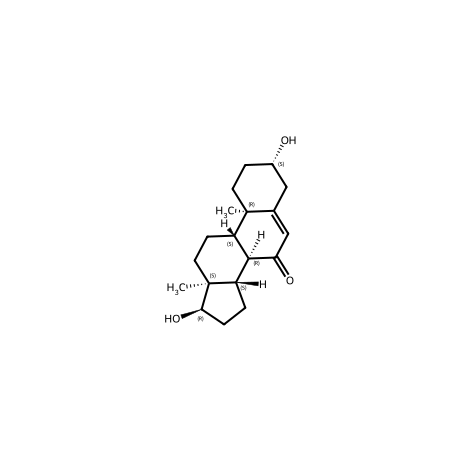 C[C@]12CC[C@H]3[C@@H](C(=O)C=C4C[C@@H](O)CC[C@@]43C)[C@@H]1CC[C@H]2O